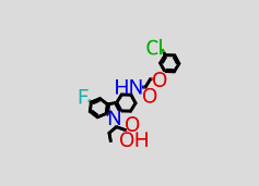 CCC(C(=O)O)n1c2c(c3cc(F)ccc31)C[C@H](NC(=O)COc1cccc(Cl)c1)CC2